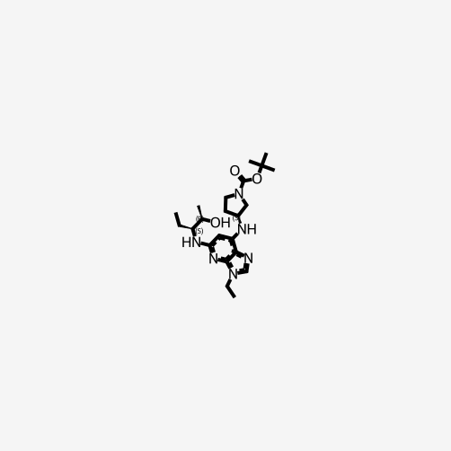 CC[C@H](Nc1cc(N[C@H]2CCN(C(=O)OC(C)(C)C)C2)c2ncn(CC)c2n1)[C@@H](C)O